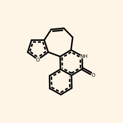 O=c1[nH]c2c(c3ccccc13)-c1occc1C=CC2